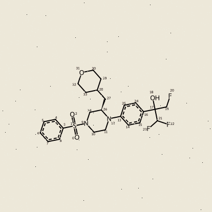 O=S(=O)(c1ccccc1)N1CCN(c2ccc(C(O)(CF)C(F)F)cc2)[C@H](CC2CCOCC2)C1